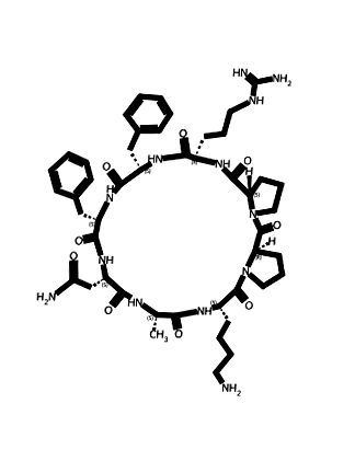 C[C@@H]1NC(=O)[C@H](CC(N)=O)NC(=O)[C@H](Cc2ccccc2)NC(=O)[C@H](Cc2ccccc2)NC(=O)[C@H](CCCNC(=N)N)NC(=O)[C@@H]2CCCN2C(=O)[C@H]2CCCN2C(=O)[C@H](CCCCN)NC1=O